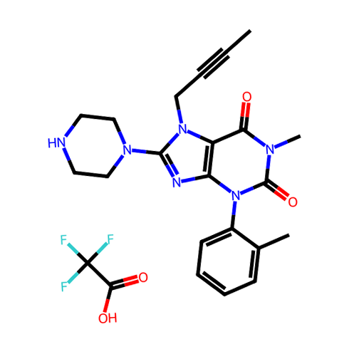 CC#CCn1c(N2CCNCC2)nc2c1c(=O)n(C)c(=O)n2-c1ccccc1C.O=C(O)C(F)(F)F